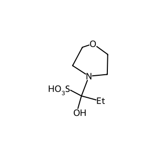 CCC(O)(N1CCOCC1)S(=O)(=O)O